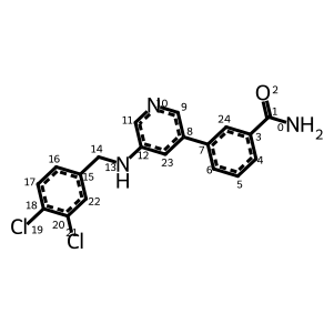 NC(=O)c1cccc(-c2cncc(NCc3ccc(Cl)c(Cl)c3)c2)c1